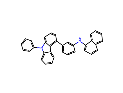 c1ccc(-n2c3ccccc3c3c(-c4cccc(Nc5cccc6ccccc56)c4)cccc32)cc1